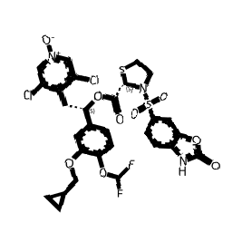 O=C(O[C@@H](Cc1c(Cl)c[n+]([O-])cc1Cl)c1ccc(OC(F)F)c(OCC2CC2)c1)[C@@H]1SCCN1S(=O)(=O)c1ccc2[nH]c(=O)oc2c1